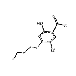 CCC(=O)c1cc(CC)c(OCCCCl)cc1O